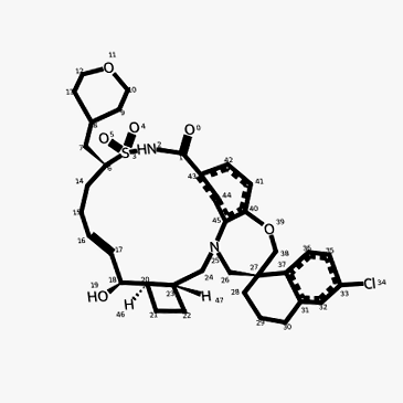 O=C1NS(=O)(=O)[C@H](CC2CCOCC2)CC/C=C/[C@H](O)[C@@H]2CC[C@H]2CN2C[C@@]3(CCCc4cc(Cl)ccc43)COc3ccc1cc32